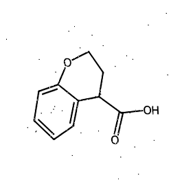 O=C(O)[C]1CCOc2ccccc21